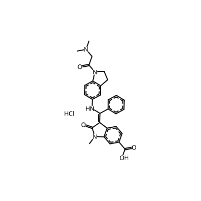 CN(C)CC(=O)N1CCc2cc(NC(=C3C(=O)N(C)c4cc(C(=O)O)ccc43)c3ccccc3)ccc21.Cl